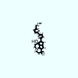 C=C=Cc1ccc(-c2ccc(C3=CC4=CC5=C6N(CCC5(C)C)CCC(C)(O)C46C3)s2)s1